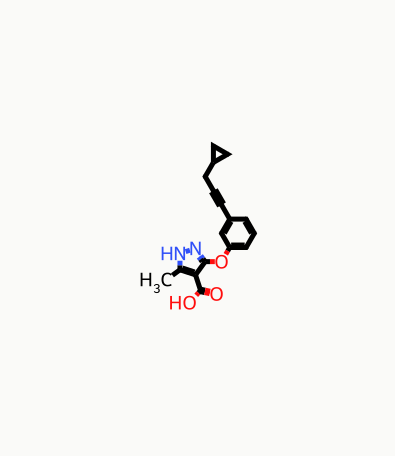 Cc1[nH]nc(Oc2cccc(C#CCC3CC3)c2)c1C(=O)O